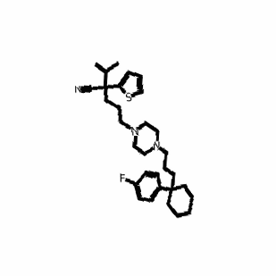 CC(C)C(C#N)(CCCN1CCN(CCCC2(c3ccc(F)cc3)CCCCC2)CC1)c1cccs1